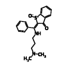 CN(C)CCCNC(=C1C(=O)c2ccccc2[S+]1[O-])c1ccccc1